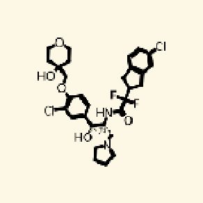 O=C(N[C@H](CN1CCCC1)[C@H](O)c1ccc(OCC2(O)CCOCC2)c(Cl)c1)C(F)(F)C1Cc2ccc(Cl)cc2C1